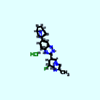 Cc1cn2cc(-c3nnc4cc(C5CC6CCC(C5)N6)ccc4n3)cc(F)c2n1.Cl